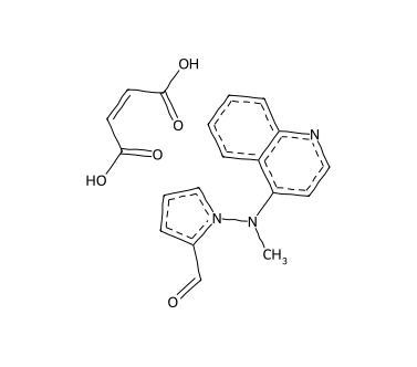 CN(c1ccnc2ccccc12)n1cccc1C=O.O=C(O)/C=C\C(=O)O